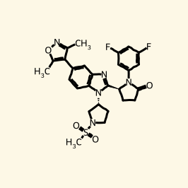 Cc1noc(C)c1-c1ccc2c(c1)nc([C@@H]1CCC(=O)N1c1cc(F)cc(F)c1)n2[C@@H]1CCN(S(C)(=O)=O)C1